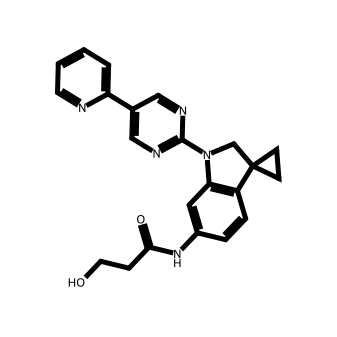 O=C(CCO)Nc1ccc2c(c1)N(c1ncc(-c3ccccn3)cn1)CC21CC1